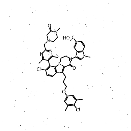 Cc1cc(OCCCc2c3n(c4c(-c5c(C)nc(CN6CCN(C)C(=O)C6)nc5C)c(Cl)ccc24)[C@H](C)CN(c2cn(C)c4ccc(C(=O)O)cc24)C3=O)cc(C)c1Cl